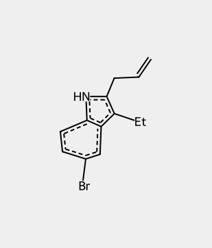 C=CCc1[nH]c2ccc(Br)cc2c1CC